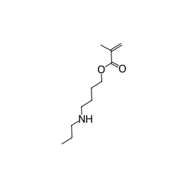 C=C(C)C(=O)OCCCCNCCC